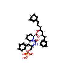 O=C(OC(CCCc1ccccc1)CCCc1ccccc1)[C@@H]1CCCCN1C(=O)NC(COP(=O)(O)O)Cc1ccccc1